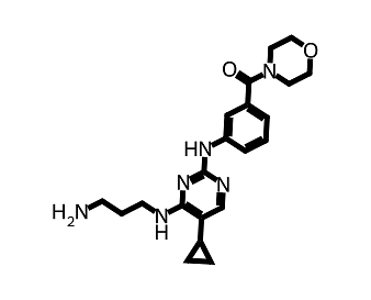 NCCCNc1nc(Nc2cccc(C(=O)N3CCOCC3)c2)ncc1C1CC1